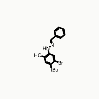 CC(C)(C)c1cc(O)c(N/N=C/c2ccccc2)cc1Br